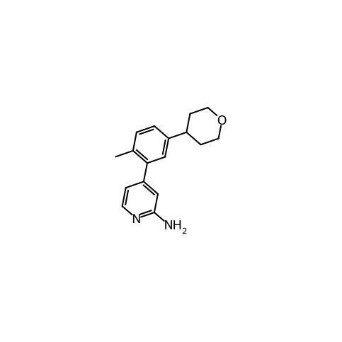 Cc1ccc(C2CCOCC2)cc1-c1ccnc(N)c1